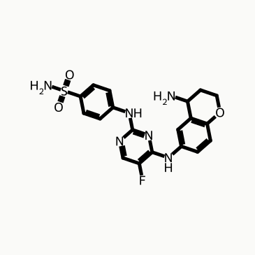 NC1CCOc2ccc(Nc3nc(Nc4ccc(S(N)(=O)=O)cc4)ncc3F)cc21